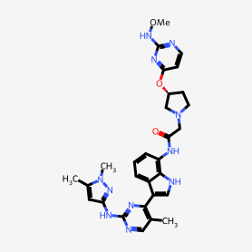 CONc1nccc(O[C@H]2CCN(CC(=O)Nc3cccc4c(-c5nc(Nc6cc(C)n(C)n6)ncc5C)c[nH]c34)C2)n1